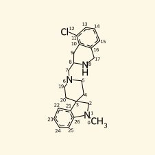 CN1CC2(CCN(CC3Cc4c(Cl)cccc4CN3)CC2)c2ccccc21